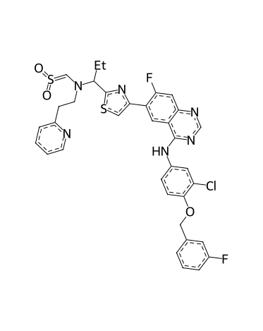 CCC(c1nc(-c2cc3c(Nc4ccc(OCc5cccc(F)c5)c(Cl)c4)ncnc3cc2F)cs1)N(C=S(=O)=O)CCc1ccccn1